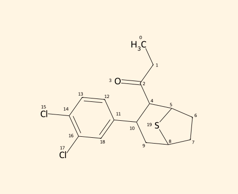 CCC(=O)C1C2CCC(CC1c1ccc(Cl)c(Cl)c1)S2